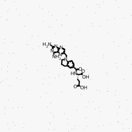 Nc1nc(N)c2nc(CN3CCCc4cc(C(=O)N[C@@H](CCC(=O)O)C(=O)O)ccc43)cnc2n1